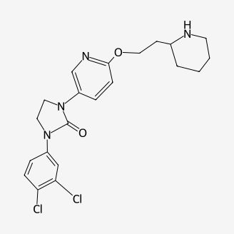 O=C1N(c2ccc(OCCC3CCCCN3)nc2)CCN1c1ccc(Cl)c(Cl)c1